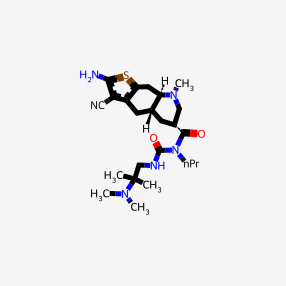 CCCN(C(=O)NCC(C)(C)N(C)C)C(=O)[C@@H]1C[C@@H]2Cc3c(sc(N)c3C#N)C[C@H]2N(C)C1